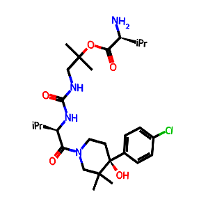 CC(C)[C@H](N)C(=O)OC(C)(C)CNC(=O)N[C@@H](C(=O)N1CC[C@](O)(c2ccc(Cl)cc2)C(C)(C)C1)C(C)C